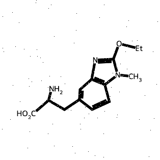 CCOc1nc2cc(CC(N)C(=O)O)ccc2n1C